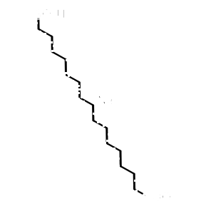 O=C([O-])CCCCCCCCCCCCCCCS(=O)(=O)O.[Na+]